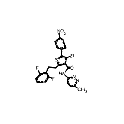 CCc1c(-c2ccc([N+](=O)[O-])cc2)sc(CCc2c(F)cccc2F)c1C(=O)Nc1ccc(C)nn1